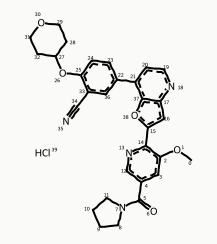 COc1cc(C(=O)N2CCCC2)cnc1-c1cc2nccc(-c3ccc(OC4CCOCC4)c(C#N)c3)c2o1.Cl